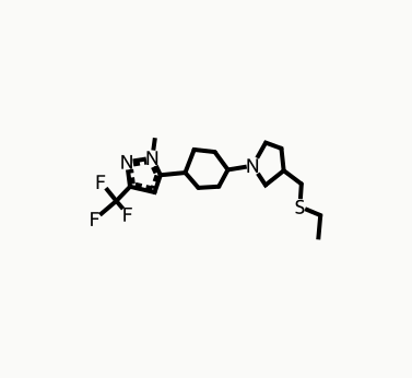 CCSCC1CCN(C2CCC(c3cc(C(F)(F)F)nn3C)CC2)C1